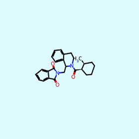 C[C@H]1CCCC[C@H]1C(=O)N1CCc2ccccc2C1CN1C(=O)c2ccccc2C1=O